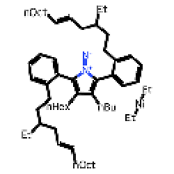 CCCCCCCCC=CCC(CC)CCc1ccccc1C1=C(CCCC)C(CCCCCC)=C(c2ccccc2CCC(CC)CC=CCCCCCCCC)[N+]1=[N-].C[CH2][Ni][CH2]C